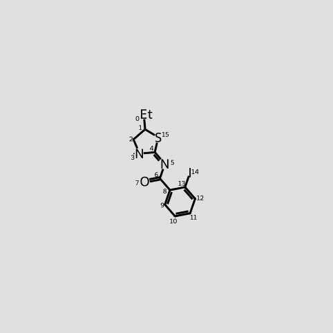 CCC1C[N]C(=NC(=O)c2ccccc2I)S1